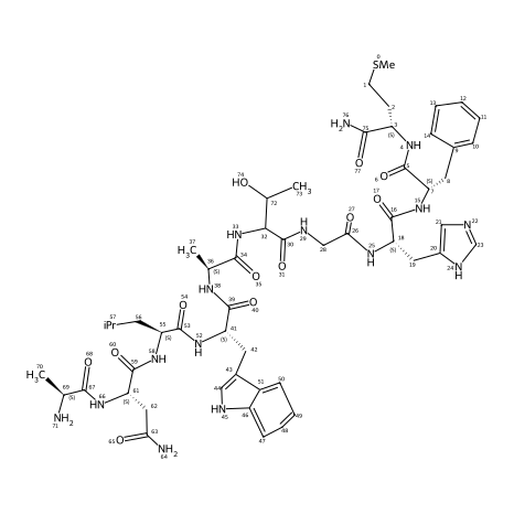 CSCC[C@H](NC(=O)[C@H](Cc1ccccc1)NC(=O)[C@H](Cc1cnc[nH]1)NC(=O)CNC(=O)C(NC(=O)[C@H](C)NC(=O)[C@H](Cc1c[nH]c2ccccc12)NC(=O)[C@H](CC(C)C)NC(=O)[C@H](CC(N)=O)NC(=O)[C@H](C)N)C(C)O)C(N)=O